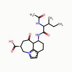 CCC(C)C(NC(C)=O)C(=O)N[C@H]1CCc2ccn3c2C1C(=O)C[C@H](C(=O)O)C3